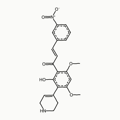 COc1cc(OC)c(C2=CCNCC2)c(O)c1C(=O)/C=C/c1cccc([N+](=O)[O-])c1